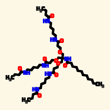 CCCCCCCCCCCC(=O)NC(COCCC(=O)NCCCCCNC(=O)CCC)(COCCC(=O)NCCCCCNC(=O)CCC)COCCC(=O)NCCCCCNC(=O)CCC